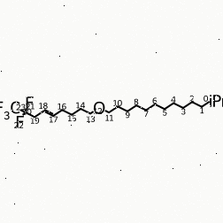 CC(C)CCCCCCCCCCCOCCCCC=CCC(F)(F)C(F)(F)F